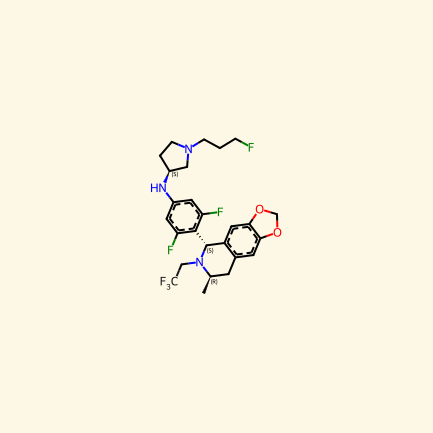 C[C@@H]1Cc2cc3c(cc2[C@@H](c2c(F)cc(N[C@H]4CCN(CCCF)C4)cc2F)N1CC(F)(F)F)OCO3